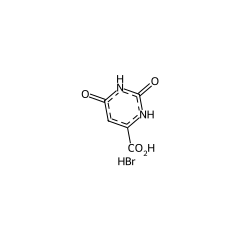 Br.O=C(O)c1cc(=O)[nH]c(=O)[nH]1